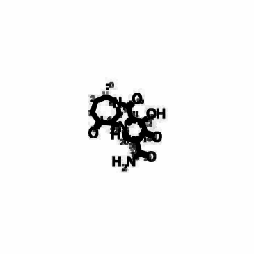 C[C@H]1CCC(=O)[C@H]2CN1C(=O)c1c(O)c(=O)c(C(N)=O)cn12